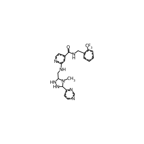 CN1C(CNc2cc(C(=O)NCc3ccccc3C(F)(F)F)ccn2)NNC1c1ccncn1